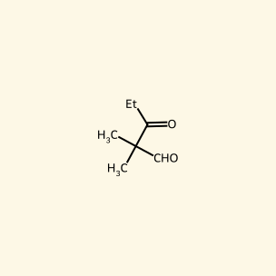 CCC(=O)C(C)(C)C=O